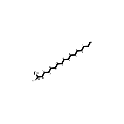 CCCCCCCCCCCCCCCC[C](F)F